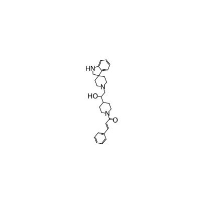 O=C(/C=C/c1ccccc1)N1CCC(C(O)CN2CCC3(CC2)CNc2ccccc23)CC1